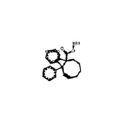 CC(C)(C)OC(=O)C1(C(=O)OC(C)(C)C)CCCCC#CC1(c1ccccc1)c1ccccc1